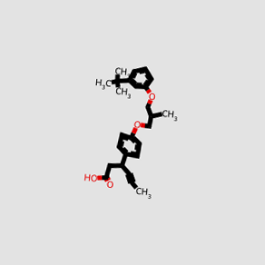 CC#CC(CC(=O)O)c1ccc(OCC(C)COc2cccc(C(C)(C)C)c2)cc1